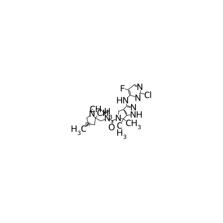 C[C@H]1CN(C)C(C)(CNC(=O)N2Cc3c(Nc4nc(Cl)ncc4F)n[nH]c3C2(C)C)C1